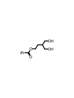 CC(C)C(=O)OCCC(CO)CO